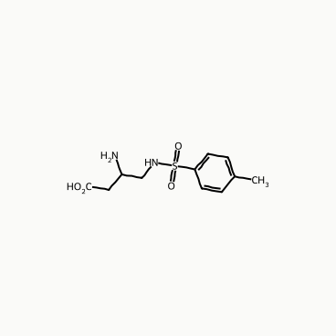 Cc1ccc(S(=O)(=O)NCC(N)CC(=O)O)cc1